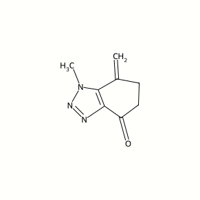 C=C1CCC(=O)c2nnn(C)c21